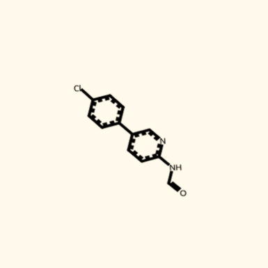 O=CNc1ccc(-c2ccc(Cl)cc2)cn1